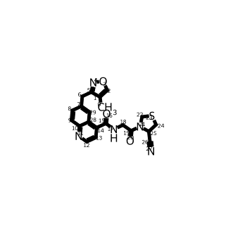 Cc1conc1Cc1ccc2nccc(C(=O)NCC(=O)N3CSCC3C#N)c2c1